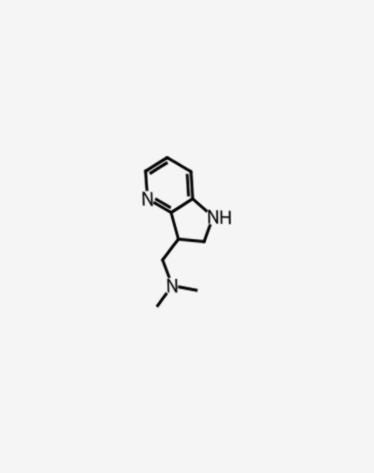 CN(C)CC1CNc2cccnc21